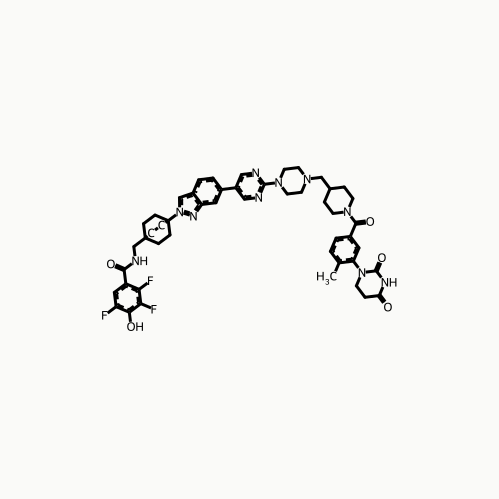 Cc1ccc(C(=O)N2CCC(CN3CCN(c4ncc(-c5ccc6cn(C78CCC(CNC(=O)c9cc(F)c(O)c(F)c9F)(CC7)CC8)nc6c5)cn4)CC3)CC2)cc1N1CCC(=O)NC1=O